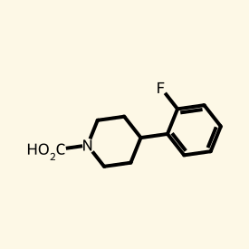 O=C(O)N1CCC(c2ccccc2F)CC1